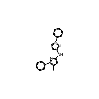 Cc1cc(Nc2ccn(-c3ccccc3)n2)nn1-c1ccccc1